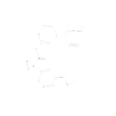 C=C/C=C(\C=C/C)[C@@H]1C[C@H](NC(=O)C2(c3ccc4c(c3)OC(F)(F)O4)CC2)CCO1